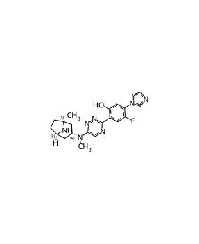 CN(c1cnc(-c2cc(F)c(-n3ccnc3)cc2O)nn1)[C@@H]1C[C@H]2CC[C@@](C)(C1)N2